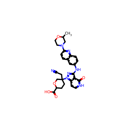 CC1CN(c2ccc3cc(Nc4nn(C5(CC#N)CCC(C(=O)O)OC5)c5cc[nH]c(=O)c45)ccc3n2)CCO1